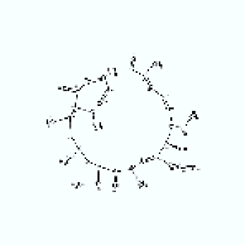 CO/C1=C(/C)C[C@@H](C)C[C@H](OC)[C@H](O)[C@@H](C)/C=C(\C)[C@H](OC=O)[C@@H](OC)/C=C\C=C(/C)C(=O)N/C(C=O)=C/C1=O